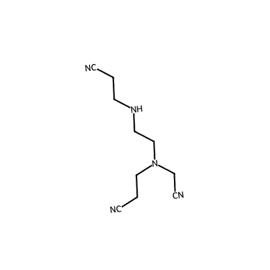 N#CCCNCCN(CC#N)CCC#N